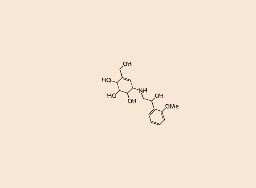 COc1ccccc1C(O)CNC1C=C(CO)C(O)C(O)C1O